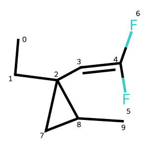 CCC1(C=C(F)F)CC1C